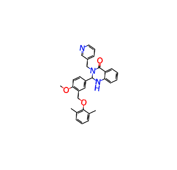 COc1ccc(C2Nc3ccccc3C(=O)N2Cc2cccnc2)cc1COc1c(C)cccc1C